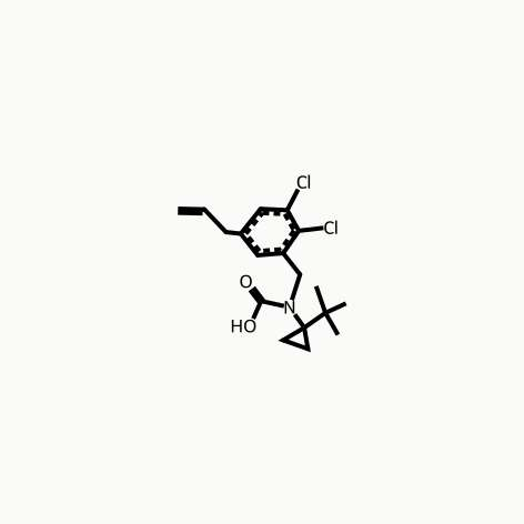 C=CCc1cc(Cl)c(Cl)c(CN(C(=O)O)C2(C(C)(C)C)CC2)c1